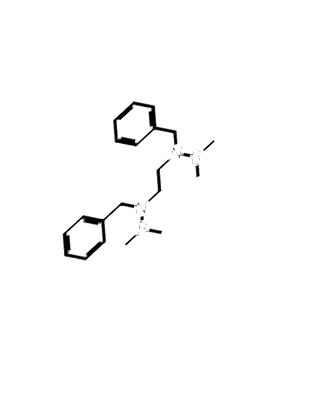 CB(C)N(CCN(Cc1ccccc1)B(C)C)Cc1ccccc1